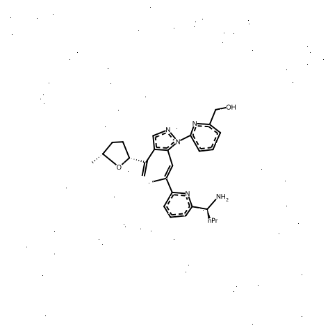 C=C(c1cnn(-c2cccc(CO)n2)c1/C=C(\C)c1cccc([C@@H](N)CCC)n1)[C@H]1CC[C@@H](C)O1